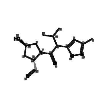 Cc1cc(C(C(=O)N2C[C@H](O)C[C@H]2C=O)C(C)C)on1